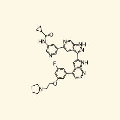 O=C(Nc1cncc(-c2cc3c(-c4cc5c(-c6cc(F)cc(OCCN7CCCC7)c6)ccnc5[nH]4)n[nH]c3cn2)c1)C1CC1